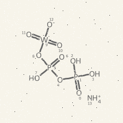 O=P(O)(O)OP(=O)(O)[O][W](=[O])(=[O])[O-].[NH4+]